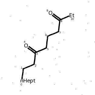 CCCCCCCCCC(=O)CCCC(=O)CC